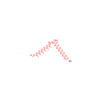 O.O.O.O.O.O.O.O.O.O.O.O.O.O.O.O.[Zn]